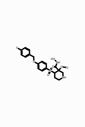 CCOC1(C(=O)NO)CNCCC1S(=O)(=O)c1ccc(OCc2ccc(F)cc2)cc1